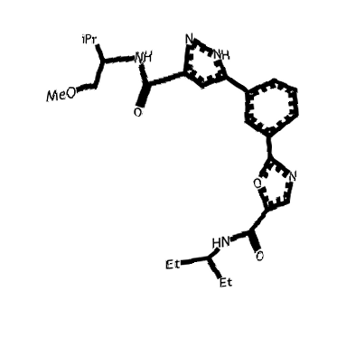 CCC(CC)NC(=O)c1cnc(-c2cccc(-c3cc(C(=O)NC(COC)C(C)C)n[nH]3)c2)o1